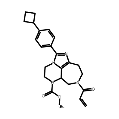 C=CC(=O)N1CCc2nc(-c3ccc(C4CCC4)cc3)n3c2C(C1)N(C(=O)OC(C)(C)C)CC3